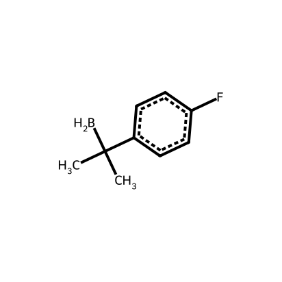 BC(C)(C)c1ccc(F)cc1